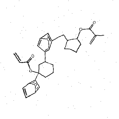 C=CC(=O)OC1(c2cc3ccc2o3)CCCC(c2cc3cc(CC4CCCC4OC(=O)C(=C)C)c2o3)C1